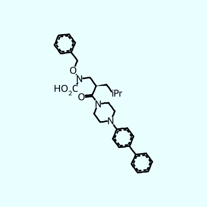 CC(C)C[C@H](CN(OCc1ccccc1)C(=O)O)C(=O)N1CCN(c2ccc(-c3ccccc3)cc2)CC1